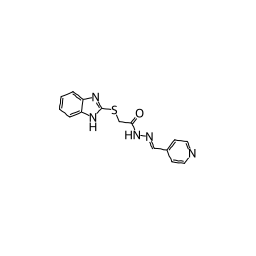 O=C(CSc1nc2ccccc2[nH]1)NN=Cc1ccncc1